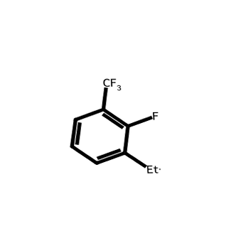 C[CH]c1cccc(C(F)(F)F)c1F